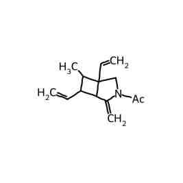 C=CC1C(C)C2(C=C)CN(C(C)=O)C(=C)C12